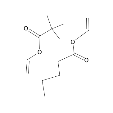 C=COC(=O)C(C)(C)C.C=COC(=O)CCCC